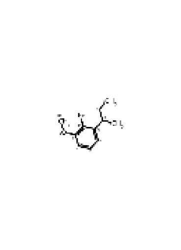 CCC(C)c1cccc(OC)c1F